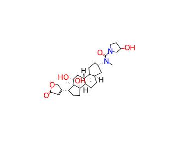 CN(C(=O)N1CC[C@@H](O)C1)[C@H]1CC[C@@]2(C)[C@H](CC[C@@H]3[C@@H]2C[C@@H](O)[C@]2(C)[C@@H](C4=CC(=O)OC4)CC[C@]32O)C1